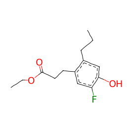 CCCc1cc(O)c(F)cc1CCC(=O)OCC